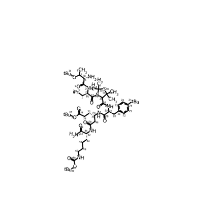 CC(C)C[C@@H](NC(=O)[C@@H](N)C(C)OC(C)(C)C)C(=O)N1C(C(=O)N[C@@H](Cc2ccc(C(C)(C)C)cc2)C(=O)N[C@@H](CCC(=O)OC(C)(C)C)CC(=O)N[C@H](CCCCNC(=O)OC(C)(C)C)C(N)=O)C(C)(C)SC1(C)C